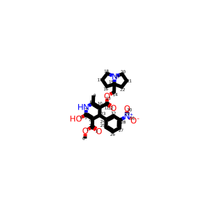 COC(=O)C1=C(O)NC(C)=C(C(=O)OCC23CCCN2CCC3)C1c1cccc([N+](=O)[O-])c1